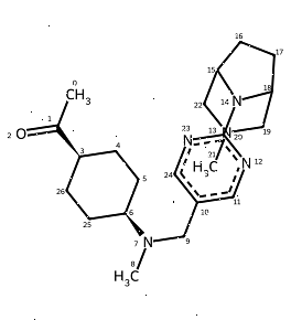 CC(=O)[C@H]1CC[C@@H](N(C)Cc2cnc(N3C4CCC3CN(C)C4)nc2)CC1